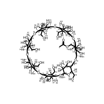 CC(=O)OC[C@H]1O[C@@H]2O[C@H]3[C@H](O)[C@@H](O)[C@@H](O[C@H]4[C@H](O)[C@@H](O)[C@@H](O[C@H]5[C@H](O)[C@@H](O)[C@@H](O[C@H]6[C@H](O)[C@@H](O)[C@@H](O[C@H]7[C@H](O)[C@@H](O)[C@@H](O[C@H]8[C@H](O)[C@@H](O)[C@@H](O[C@H]1[C@H](O)[C@H]2O)O[C@@H]8CO)O[C@@H]7CO)O[C@@H]6CO)O[C@@H]5CO)O[C@@H]4CO)O[C@@H]3CO